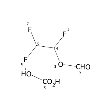 O=C(O)O.O=COC(F)C(F)F